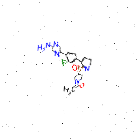 CC(=O)N1CCC([S+]([O-])c2ncccc2-c2ccc(-c3cnc(N)cn3)c(F)c2)CC1